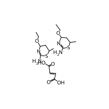 CCOC1CC(C)SC(N)=N1.CCOC1CC(C)SC(N)=N1.O=C(O)C=CC(=O)O